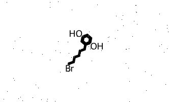 Oc1ccc(O)c(CCCCCCBr)c1